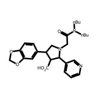 CCCCN(CCCC)C(=O)CN1CC(c2ccc3c(c2)OCO3)C(C(=O)O)C1c1cccnc1